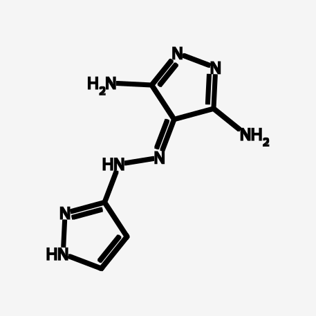 NC1=NN=C(N)C1=NNc1cc[nH]n1